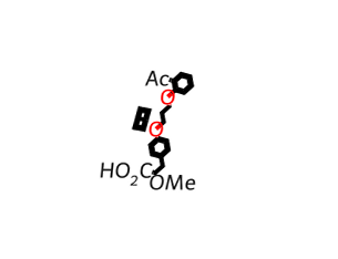 CO[C@@H](Cc1ccc(OCCCOc2ccccc2C(C)=O)cc1)C(=O)O.c1cc2ccc1-2